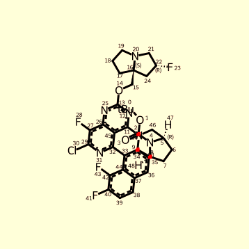 CC(C)(C)OC(=O)N1[C@@H]2CC[C@H]1CN(c1nc(OC[C@@]34CCCN3C[C@H](F)C4)nc3c(F)c(Cl)nc(-c4cccc5ccc(F)c(F)c45)c13)C2